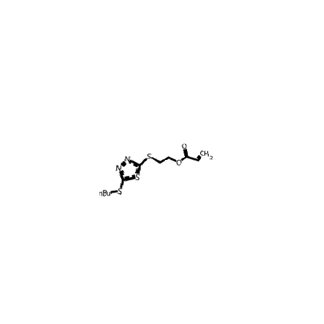 C=CC(=O)OCCSc1nnc(SCCCC)s1